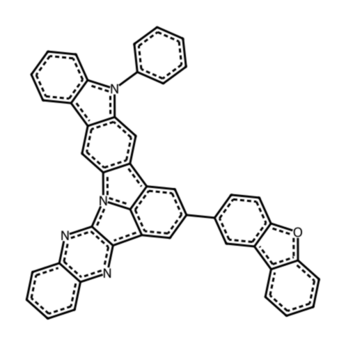 c1ccc(-n2c3ccccc3c3cc4c(cc32)c2cc(-c3ccc5oc6ccccc6c5c3)cc3c5nc6ccccc6nc5n4c23)cc1